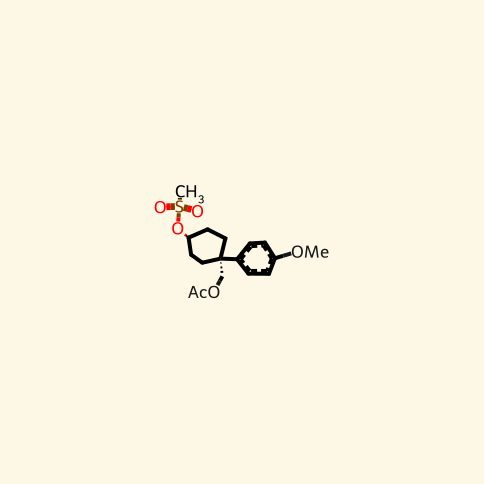 COc1ccc([C@]2(COC(C)=O)CC[C@@H](OS(C)(=O)=O)CC2)cc1